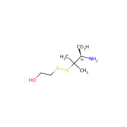 CC(C)(SSCCO)[C@H](N)C(=O)O